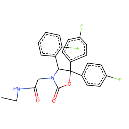 CCNC(=O)CN1C(=O)OC(c2ccc(F)cc2)(c2ccc(F)cc2)C1c1ccccc1F